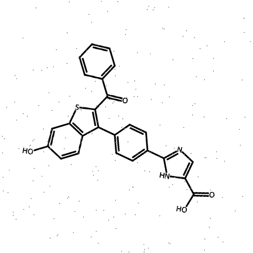 O=C(O)c1cnc(-c2ccc(-c3c(C(=O)c4ccccc4)sc4cc(O)ccc34)cc2)[nH]1